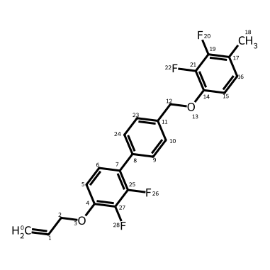 C=CCOc1ccc(-c2ccc(COc3ccc(C)c(F)c3F)cc2)c(F)c1F